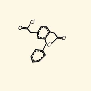 O=C(Cl)Cc1ccc(CC(=O)Cl)c(Cc2ccccc2)c1